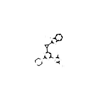 Cc1nc(C)n(-c2cc(C3CC3c3nc4ccccc4n3C)nc(N3CCOCC3)n2)n1